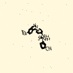 N#Cc1cccc(NC(=S)NC2CCN(c3nncc4cc(Br)ccc34)CC2)c1